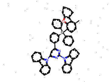 Cc1ccc([Si](c2ccccc2)(c2ccccc2)c2cccc(-c3cc(-n4c5ccccc5c5ccccc54)nc(-n4c5ccccc5c5ccccc54)n3)c2)c2oc3ccccc3c12